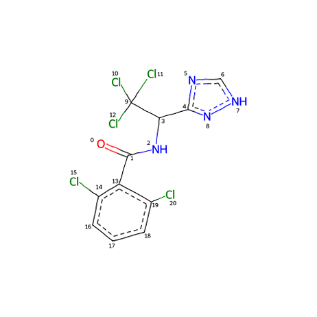 O=C(NC(c1nc[nH]n1)C(Cl)(Cl)Cl)c1c(Cl)cccc1Cl